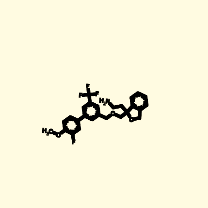 COc1ccc(-c2cc(COCC3(CCN)OCc4ccccc43)cc(C(F)(F)F)c2)cc1F